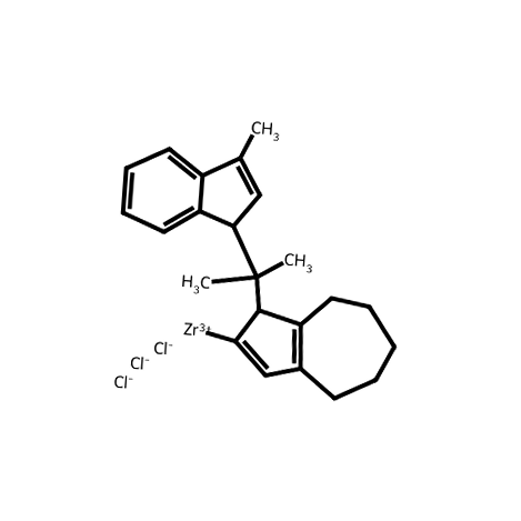 CC1=CC(C(C)(C)C2[C]([Zr+3])=CC3=C2CCCCC3)c2ccccc21.[Cl-].[Cl-].[Cl-]